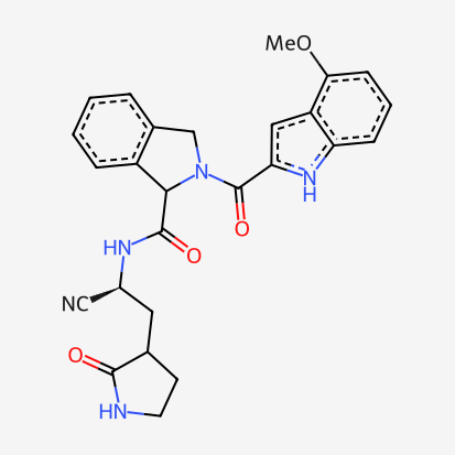 COc1cccc2[nH]c(C(=O)N3Cc4ccccc4C3C(=O)N[C@H](C#N)CC3CCNC3=O)cc12